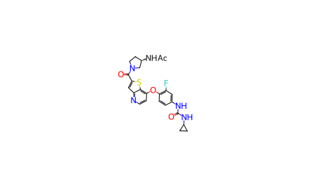 CC(=O)N[C@@H]1CCN(C(=O)c2cc3nccc(Oc4ccc(NC(=O)NC5CC5)cc4F)c3s2)C1